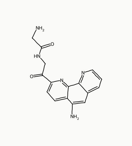 NCC(=O)NCC(=O)c1ccc2c(N)cc3cccnc3c2n1